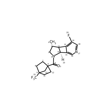 C[C@H]1CN(C(=O)C23CCC(C(F)(F)F)(CC2)C3)[C@@H]2c3cncc(F)c3C21